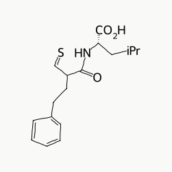 CC(C)C[C@H](NC(=O)C(C=S)CCc1ccccc1)C(=O)O